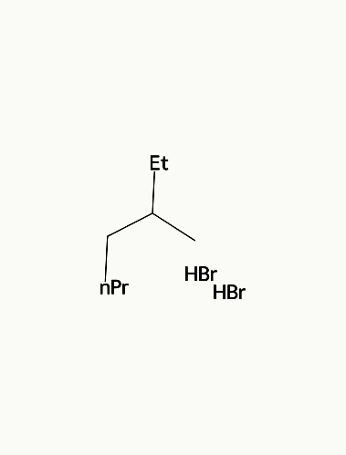 Br.Br.CCCCC(C)CC